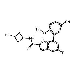 CC(C)Oc1ccc(C#N)cc1-c1cc(F)cc2cc(C(=O)NC3CC(O)C3)oc12